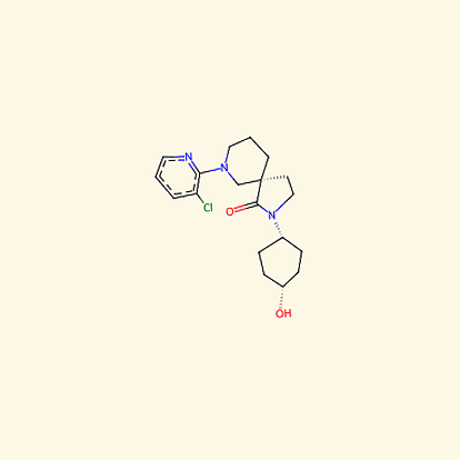 O=C1N([C@H]2CC[C@@H](O)CC2)CC[C@]12CCCN(c1ncccc1Cl)C2